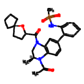 CC(=O)N1c2ccc(-c3ccccc3NS(C)(=O)=O)cc2N(C(=O)C2CCC3(CCCC3)O2)C[C@@H]1C